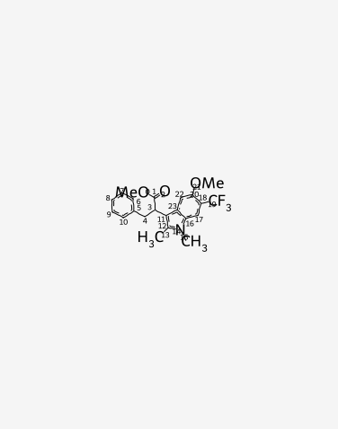 COC(=O)C(Cc1ccccc1)c1c(C)n(C)c2cc(C(F)(F)F)c(OC)cc12